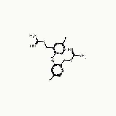 N=C(N)SCc1cc(F)ccc1Oc1cc(F)ccc1CSC(=N)N